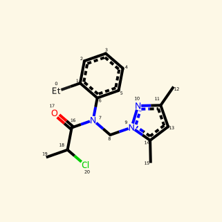 CCc1ccccc1N(Cn1nc(C)cc1C)C(=O)C(C)Cl